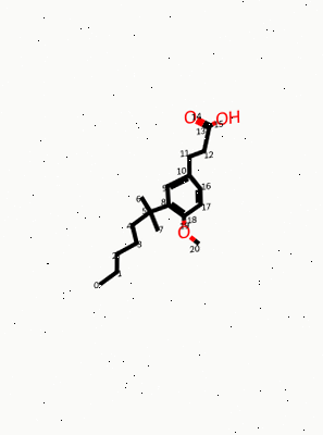 CCCCCC(C)(C)c1cc(CCC(=O)O)ccc1OC